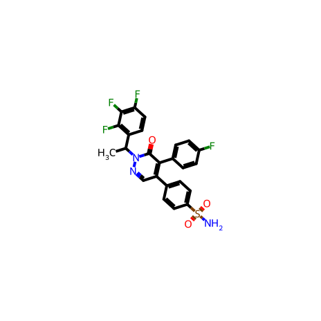 CC(c1ccc(F)c(F)c1F)n1ncc(-c2ccc(S(N)(=O)=O)cc2)c(-c2ccc(F)cc2)c1=O